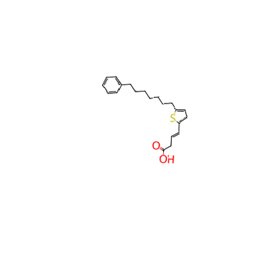 O=C(O)CC=Cc1ccc(CCCCCCCc2ccccc2)s1